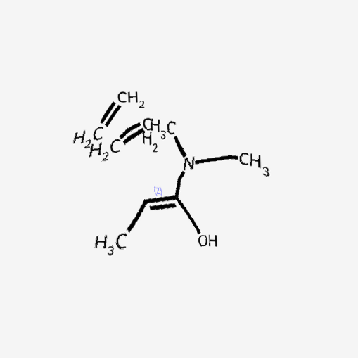 C/C=C(\O)N(C)C.C=C.C=C